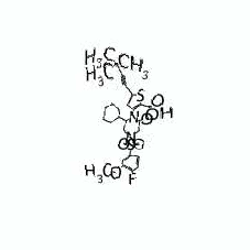 COc1cc(S(=O)(=O)N2CC(=O)N(c3cc(C#CC(C)(C)C)sc3C(=O)O)C(C3CCCCC3)C2)ccc1F